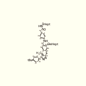 CCCCCCCNC(=O)Cc1ccc(NCc2ccc(Sc3nnc(-c4ccc(C(C)(C)C)cc4)n3C)cc2OCCCCCCC)cc1